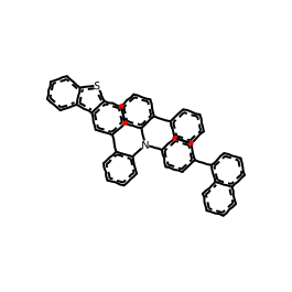 c1ccc(-c2ccccc2N(c2ccc(-c3cccc4ccccc34)cc2)c2ccccc2-c2ccc3sc4ccccc4c3c2)cc1